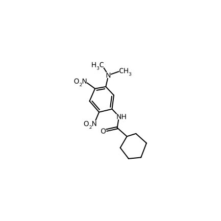 CN(C)c1cc(NC(=O)C2CCCCC2)c([N+](=O)[O-])cc1[N+](=O)[O-]